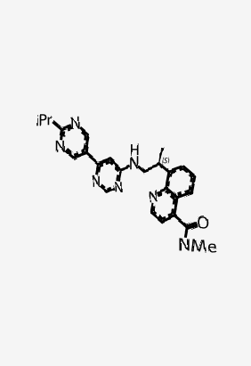 CNC(=O)c1ccnc2c([C@H](C)CNc3cc(-c4cnc(C(C)C)nc4)ncn3)cccc12